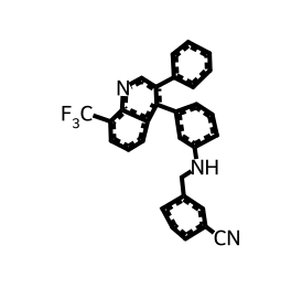 N#Cc1cccc(CNc2cccc(-c3c(-c4ccccc4)cnc4c(C(F)(F)F)cccc34)c2)c1